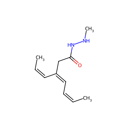 C\C=C/C=C(\C=C/C)CC(=O)NNC